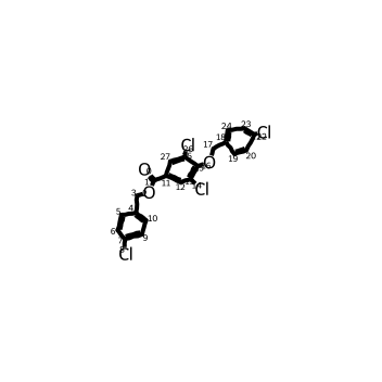 O=C(OCc1ccc(Cl)cc1)c1cc(Cl)c(OCc2ccc(Cl)cc2)c(Cl)c1